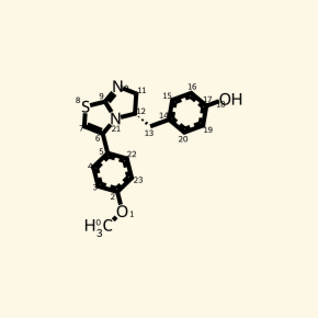 COc1ccc(C2=CSC3=NC[C@H](Cc4ccc(O)cc4)N23)cc1